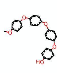 COc1ccc(Oc2ccc(Oc3ccc(Oc4ccc(O)cc4)cc3)cc2)cc1